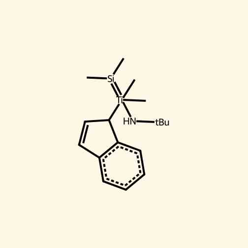 C[Si](C)=[Ti]([CH3])([CH3])([NH]C(C)(C)C)[CH]1C=Cc2ccccc21